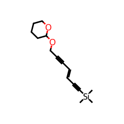 C[Si](C)(C)C#CC=CC#CCOC1CCCCO1